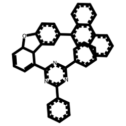 C1=CC2Oc3ccc(-c4cc5ccccc5c5ccccc45)cc3C2C(c2nc(-c3ccccc3)nc(-c3ccccc3)n2)=C1